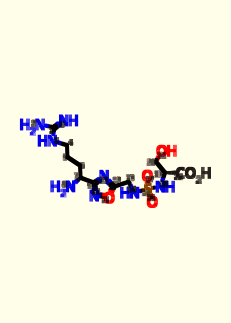 N=C(N)NCCC[C@H](N)c1noc(CNS(=O)(=O)N[C@@H](CO)C(=O)O)n1